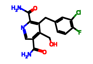 NC(=O)c1cnc(C(N)=O)c(Cc2ccc(F)c(Cl)c2)c1CO